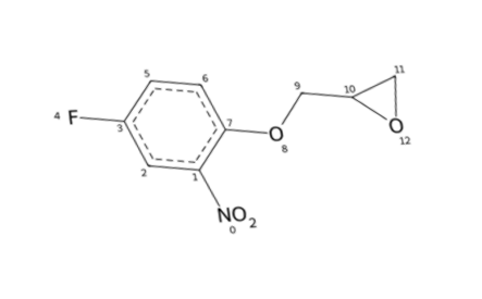 O=[N+]([O-])c1cc(F)ccc1OCC1CO1